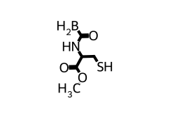 BC(=O)NC(CS)C(=O)OC